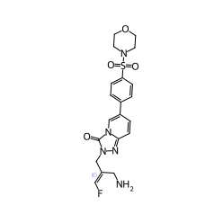 NC/C(=C\F)Cn1nc2ccc(-c3ccc(S(=O)(=O)N4CCOCC4)cc3)cn2c1=O